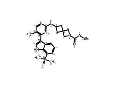 CC(C)(C)OC(=O)N1CC2(CC(Nc3ncc(C(F)(F)F)c(-c4c[nH]c5c(P(C)(C)=O)cccc45)n3)C2)C1